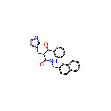 O=C(NCc1ccc2ccccc2c1)C(Cn1ccnc1)C(=O)c1ccccc1